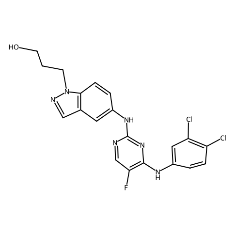 OCCCn1ncc2cc(Nc3ncc(F)c(Nc4ccc(Cl)c(Cl)c4)n3)ccc21